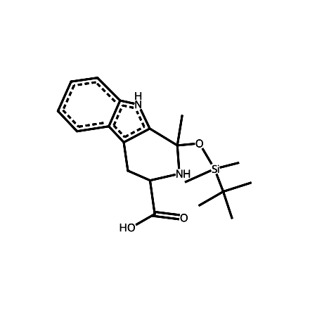 CC1(O[Si](C)(C)C(C)(C)C)NC(C(=O)O)Cc2c1[nH]c1ccccc21